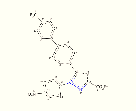 CCOC(=O)c1cc(-c2ccc(-c3ccc(C(F)(F)F)cc3)cc2)n(-c2ccc([N+](=O)[O-])cc2)n1